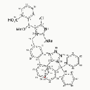 CCCCc1nc(Cl)c(C(OC)c2ccccc2C(=O)O)n1Cc1ccc(-c2ccccc2-c2nnnn2C(c2ccccc2)(c2ccccc2)c2ccccc2)cc1